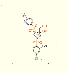 N#Cc1cc(Cl)ccc1S(=O)(=O)N1C[C@H](S(=O)(=O)c2ccc(C(F)(F)F)nc2)[C@](O)(CO)C1